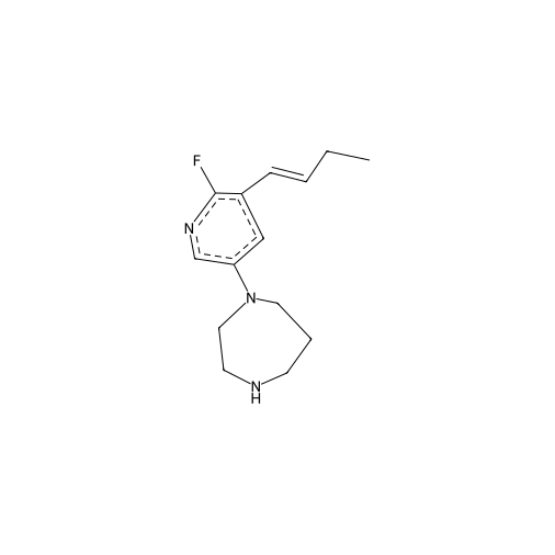 CCC=Cc1cc(N2CCCNCC2)cnc1F